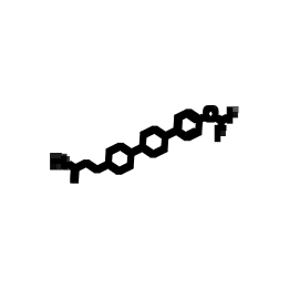 C=C(CC)CCC1CCC(C2CCC(c3ccc(OC(F)F)cc3)CC2)CC1